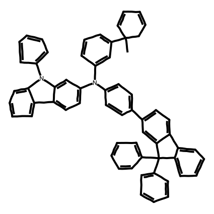 CC1(c2cccc(N(c3ccc(-c4ccc5c(c4)C(c4ccccc4)(c4ccccc4)c4ccccc4-5)cc3)c3ccc4c5ccccc5n(-c5ccccc5)c4c3)c2)C=CC=CC1